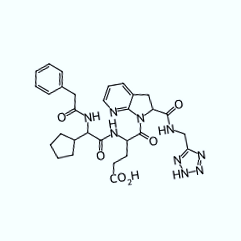 O=C(O)CCC(NC(=O)C(NC(=O)Cc1ccccc1)C1CCCC1)C(=O)N1c2ncccc2CC1C(=O)NCc1nn[nH]n1